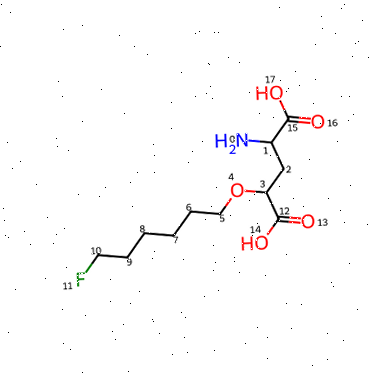 NC(CC(OCCCCCCF)C(=O)O)C(=O)O